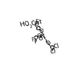 CCOC(Cc1ccc(OCCN(CCCCOCc2cc(Cl)cc(Cl)c2)C(=O)Oc2ccc(F)c(F)c2)cc1)C(=O)O